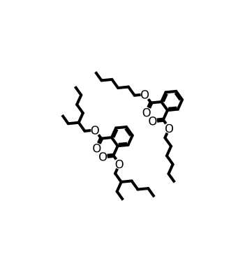 CCCCC(CC)COC(=O)c1ccccc1C(=O)OCC(CC)CCCC.CCCCCCOC(=O)c1ccccc1C(=O)OCCCCCC